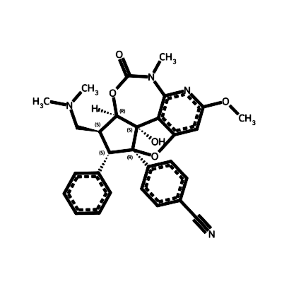 COc1cc2c3c(n1)N(C)C(=O)O[C@@H]1[C@H](CN(C)C)[C@@H](c4ccccc4)[C@](c4ccc(C#N)cc4)(O2)[C@]31O